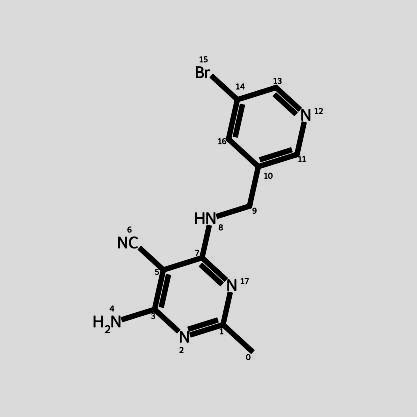 Cc1nc(N)c(C#N)c(NCc2cncc(Br)c2)n1